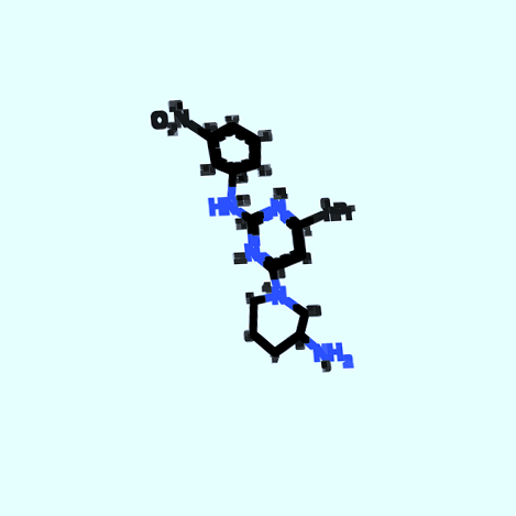 CCCc1cc(N2CCCC(N)C2)nc(Nc2cccc([N+](=O)[O-])c2)n1